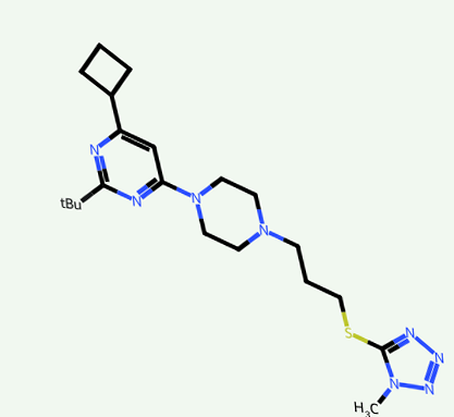 Cn1nnnc1SCCCN1CCN(c2cc(C3CCC3)nc(C(C)(C)C)n2)CC1